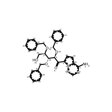 Nc1ncnn2c(C(=O)[C@H](OCc3ccccc3)[C@H](OCc3ccccc3)[C@@H](CO)OCc3ccccc3)ccc12